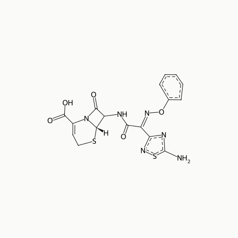 Nc1nc(C(=NOc2ccccc2)C(=O)NC2C(=O)N3C(C(=O)O)=CCS[C@@H]23)ns1